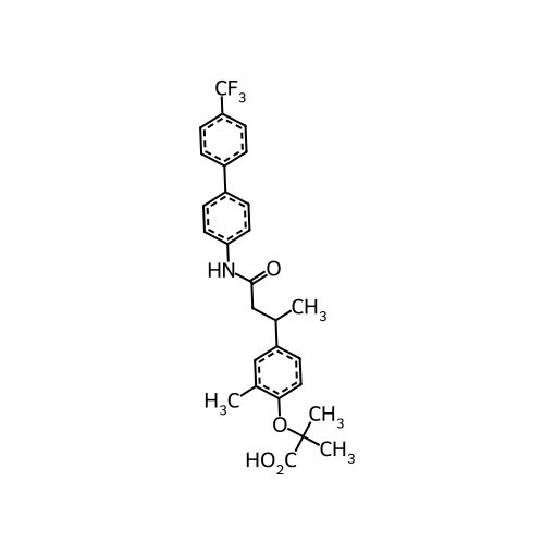 Cc1cc(C(C)CC(=O)Nc2ccc(-c3ccc(C(F)(F)F)cc3)cc2)ccc1OC(C)(C)C(=O)O